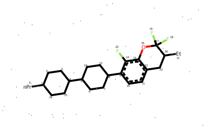 CCCC1CCC(C2CCC(c3ccc4c(c3F)OC(F)(F)C(CC)C4)CC2)CC1